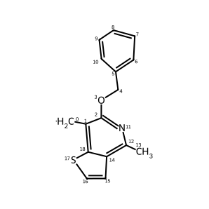 [CH2]c1c(OCc2ccccc2)nc(C)c2ccsc12